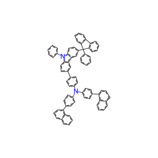 c1ccc(-n2c3ccc(-c4ccc(N(c5ccc(-c6cccc7ccccc67)cc5)c5ccc(-c6cccc7ccccc67)cc5)cc4)cc3c3cc(C4(c5ccccc5)c5ccccc5-c5ccccc54)ccc32)cc1